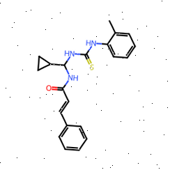 Cc1ccccc1NC(=S)NC(NC(=O)/C=C/c1ccccc1)C1CC1